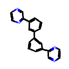 c1cc(-c2cccc(-c3cnccn3)c2)cc(-c2cnccn2)c1